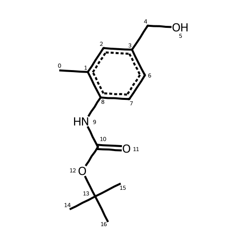 Cc1cc(CO)ccc1NC(=O)OC(C)(C)C